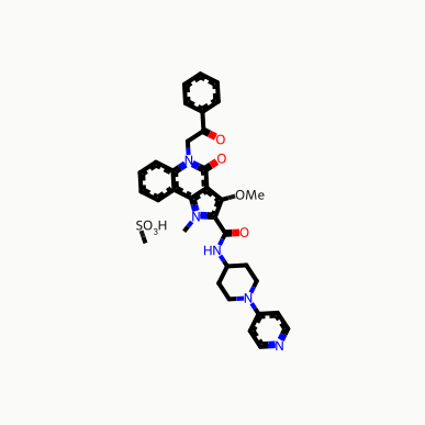 COc1c(C(=O)NC2CCN(c3ccncc3)CC2)n(C)c2c1c(=O)n(CC(=O)c1ccccc1)c1ccccc21.CS(=O)(=O)O